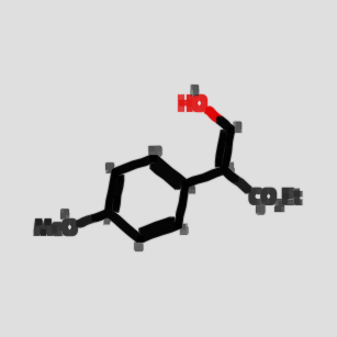 CCOC(=O)/C(=C/O)c1ccc(OC)cc1